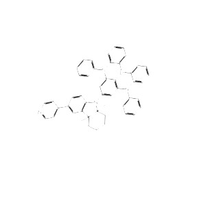 CC12CCCCC1(C)N(c1cc3c4c(c1)N(c1ccccc1)c1ccccc1B4c1ccccc1N3c1ccccc1)c1ccc(-c3ccncc3)cc12